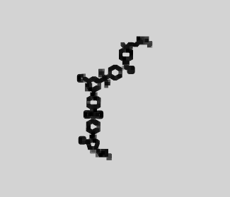 C[N+]1(CCN)CCN(C(=O)[C@H]2CC[C@H](C(F)(F)c3cc(Cl)nc(N4CCN(S(=O)(=O)c5ccc(N6C[C@H](N)CC6=O)cc5)CC4)c3)CC2)CC1